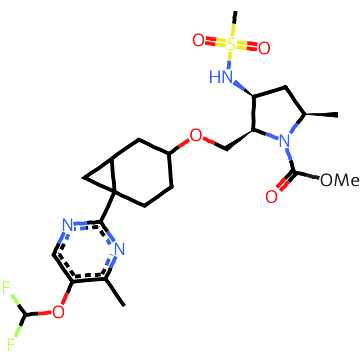 COC(=O)N1[C@H](C)C[C@H](NS(C)(=O)=O)[C@@H]1COC1CCC2(c3ncc(OC(F)F)c(C)n3)CC2C1